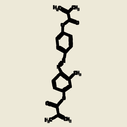 C=C(C)C(=O)Oc1ccc(N=Nc2ccc(OC(=O)C(=C)C)cc2C)cc1